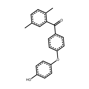 Cc1ccc(C)c(C(=O)c2ccc(Oc3ccc(O)cc3)cc2)c1